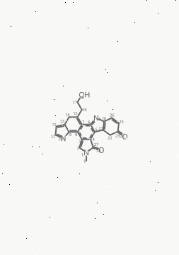 CN1C=c2c(c3c(c4c2=C2N=CC=C2CC=4CCO)=NC2=C3CC(=O)C=C2)C1=O